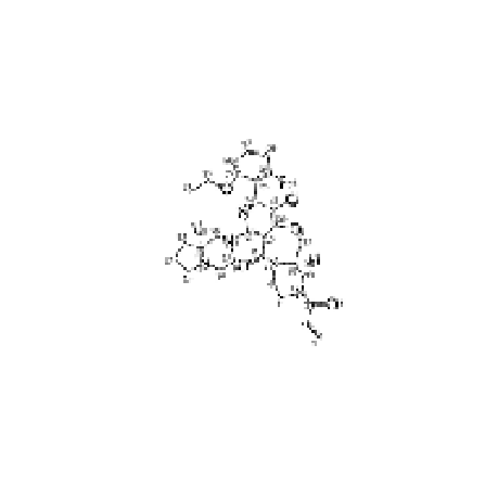 C=CC(=O)N1CCN2C(=O)c3c(N4CCN5CCC[C@H]5C4)nc(-c4c(F)cccc4OCC)c(Cl)c3OC[C@H]2C1